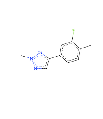 Cc1ccc(-c2cnn(C)n2)cc1F